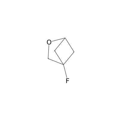 FC12COC(C1)C2